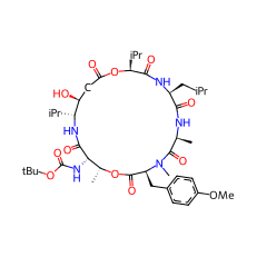 COc1ccc(C[C@H]2C(=O)O[C@H](C)[C@H](NC(=O)OC(C)(C)C)C(=O)N[C@H](C(C)C)[C@@H](O)CC(=O)O[C@@H](C(C)C)C(=O)N[C@@H](CC(C)C)C(=O)N[C@@H](C)C(=O)N2C)cc1